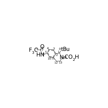 CC(C)(C)C1c2ccc(NC(=O)C(F)(F)F)cc2CCN1C(=O)O